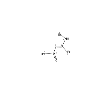 CCNC(=CC(=O)C(C)C)C(C)C